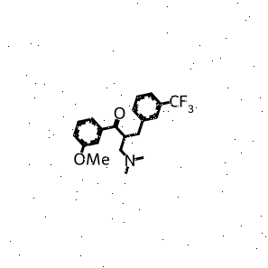 COc1cccc(C(=O)C(Cc2cccc(C(F)(F)F)c2)CN(C)C)c1